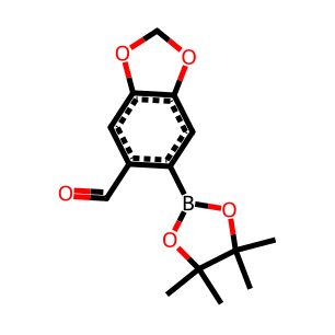 CC1(C)OB(c2cc3c(cc2C=O)OCO3)OC1(C)C